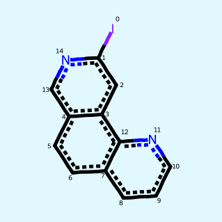 Ic1cc2c(ccc3cccnc32)cn1